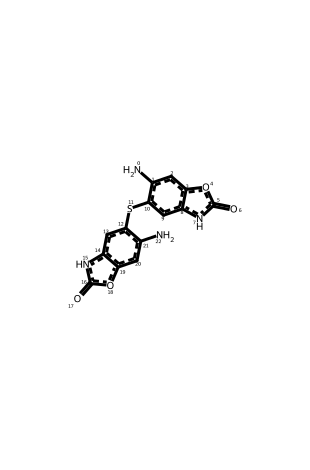 Nc1cc2oc(=O)[nH]c2cc1Sc1cc2[nH]c(=O)oc2cc1N